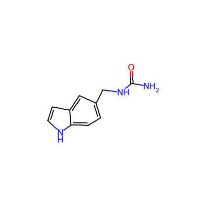 NC(=O)NCc1ccc2[nH]ccc2c1